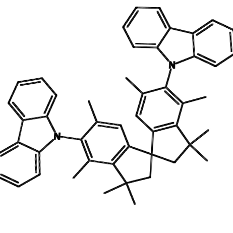 Cc1cc2c(c(C)c1-n1c3ccccc3c3ccccc31)C(C)(C)CC21CC(C)(C)c2c1cc(C)c(-n1c3ccccc3c3ccccc31)c2C